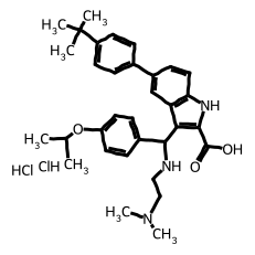 CC(C)Oc1ccc(C(NCCN(C)C)c2c(C(=O)O)[nH]c3ccc(-c4ccc(C(C)(C)C)cc4)cc23)cc1.Cl.Cl